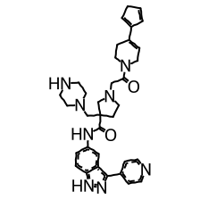 O=C(CN1CCC(CN2CCNCC2)(C(=O)Nc2ccc3[nH]nc(-c4ccncc4)c3c2)C1)N1CC=C(C2=CCC=C2)CC1